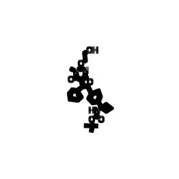 Cn1c(OCCO)nc2oc(-c3ccc(C4(NC(=O)OC(C)(C)C)CCC4)cc3)c(-c3ccccc3)c2c1=O